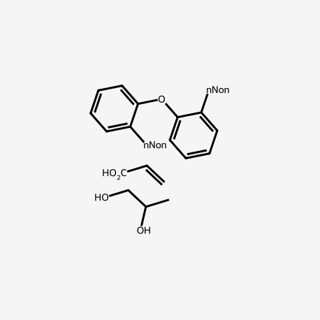 C=CC(=O)O.CC(O)CO.CCCCCCCCCc1ccccc1Oc1ccccc1CCCCCCCCC